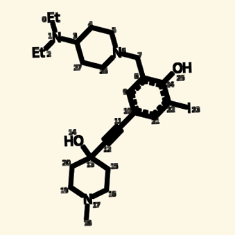 CCN(CC)C1CCN(Cc2cc(C#CC3(O)CCN(C)CC3)cc(I)c2O)CC1